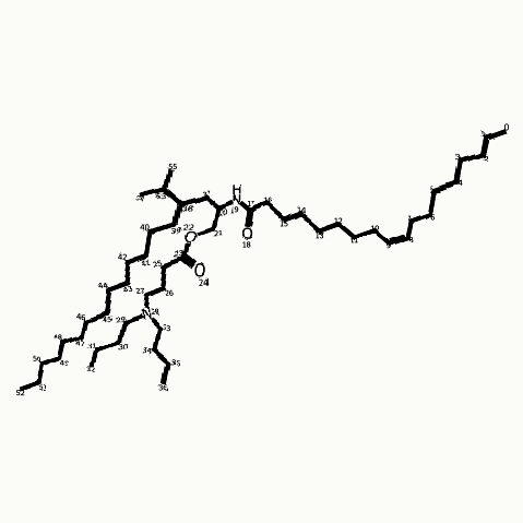 CCCCCCCC/C=C\CCCCCCCC(=O)NC(COC(=O)CCCN(CCCC)CCCC)CC(CCCCCCCCCCCCCC)C(C)C